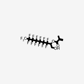 C=C(C)C(=O)OC(CO)C(F)(F)C(F)(F)C(F)(F)C(F)(F)C(F)(F)C(F)(F)C(F)(F)F